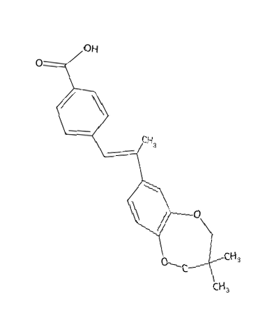 CC(=Cc1ccc(C(=O)O)cc1)c1ccc2c(c1)OCC(C)(C)CO2